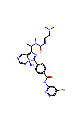 CCCc1ccnc(NC(=O)c2ccc(C3=NC(C(C)N(C)C(=O)/C=C/CN(C)C)=C4C=NC=C[N+]34N)cc2)c1